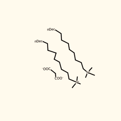 CCCCCCCCCCCCCCCCCC[N+](C)(C)C.CCCCCCCCCCCCCCCCCC[N+](C)(C)C.O=C([O-])CC(=O)[O-]